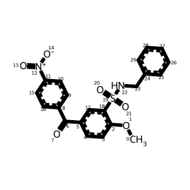 COc1ccc(C(=O)c2ccc([N+](=O)[O-])cc2)cc1S(=O)(=O)NCc1ccccc1